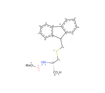 COBN[C@H](CSCC1c2ccccc2-c2ccccc21)C(=O)O